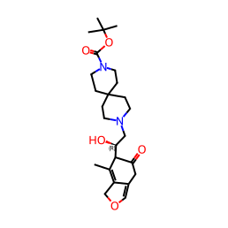 CC1=C2COC=C2CC(=O)C1[C@@H](O)CN1CCC2(CC1)CCN(C(=O)OC(C)(C)C)CC2